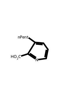 CCCCCc1cccnc1C(=O)O